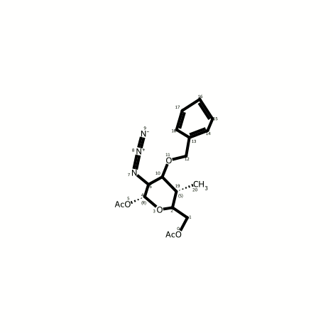 CC(=O)OCC1O[C@H](OC(C)=O)C(N=[N+]=[N-])C(OCc2ccccc2)[C@@H]1C